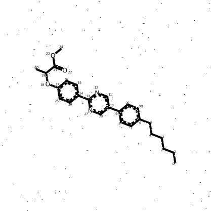 CCCCCCc1ccc(-c2cnc(-c3ccc(OC(C)C(=O)OC)cc3)nc2)cc1